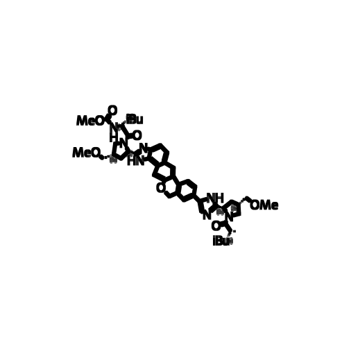 CC[C@@H](C)[CH]C(=O)N1C[C@@H](COC)C[C@H]1c1ncc(-c2ccc3c(c2)COc2cc4c(ccc5nc([C@@H]6C[C@H](COC)CN6C(=O)[C@@H](NC(=O)OC)[C@@H](C)CC)[nH]c54)cc2-3)[nH]1